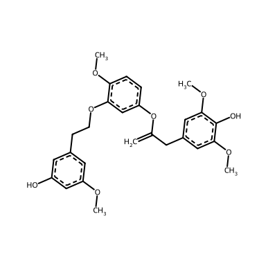 C=C(Cc1cc(OC)c(O)c(OC)c1)Oc1ccc(OC)c(OCCc2cc(O)cc(OC)c2)c1